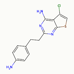 Nc1ccc(CCc2nc(N)c3c(Cl)csc3n2)cc1